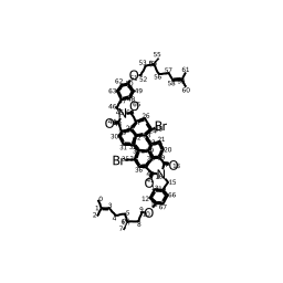 CC(C)=CCC[C@H](C)CCOc1ccc(CN2C(=O)c3ccc4c5c(Br)cc6c7c(ccc(c8c(Br)cc(c3c48)C2=O)c75)C(=O)N(Cc2ccc(OCC[C@@H](C)CCC=C(C)C)cc2)C6=O)cc1